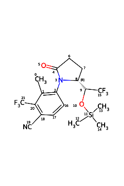 Cc1c(N2C(=O)CC[C@@H]2C(O[Si](C)(C)C)C(F)(F)F)ccc(C#N)c1C(F)(F)F